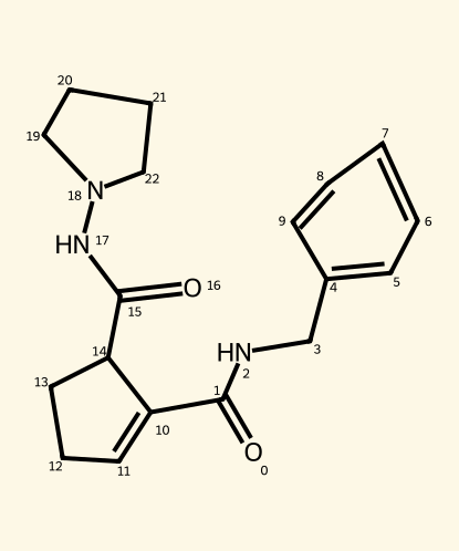 O=C(NCc1ccccc1)C1=CCCC1C(=O)NN1CCCC1